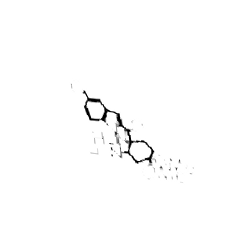 COC1(OC)CCC(N)(C(=O)c2cc3cc(Cl)ccc3[nH]2)C(N)C1